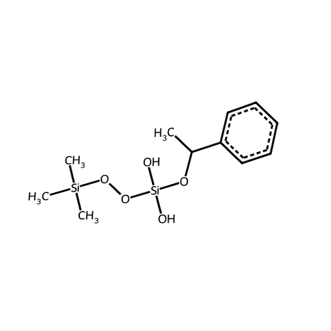 CC(O[Si](O)(O)OO[Si](C)(C)C)c1ccccc1